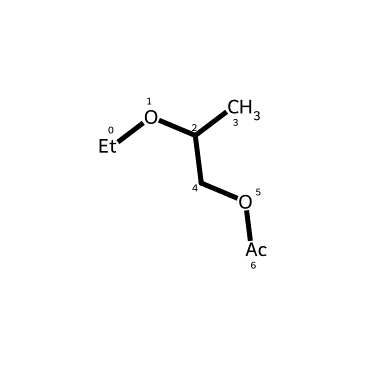 CCOC(C)COC(C)=O